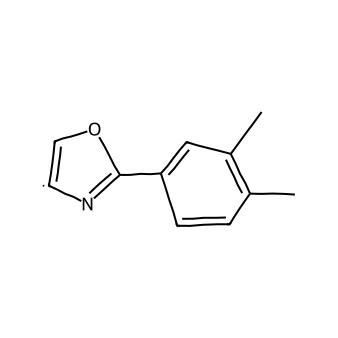 Cc1ccc(-c2n[c]co2)cc1C